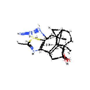 C=C1CC[C@H]2[C@@]3(CN=[N+]=[N-])C[C@]3([C@@]3(C)Cc4sc(C)nc4C[C@@H]3CO)CC[C@]12C